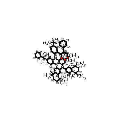 CC(C)(C)c1ccc(N2c3cc(C(C)(C)c4ccccc4)ccc3B3c4cc5c(cc4N(c4ccc6c(c4)C(C)(C)CCC6(C)C)c4cc(C(C)(C)C)cc2c43)C(C)(C)CCC5(C)C)c(-c2ccccc2-c2ccccc2)c1